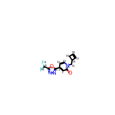 O=c1cc(-c2nnc(C(F)F)o2)ccn1CC1C#CC1